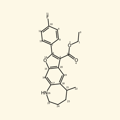 CCOC(=O)c1c(-c2ccc(F)cc2)oc2cc3c(cc12)C(C)CCCN3